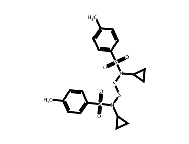 Cc1ccc(S(=O)(=O)N(SSN(C2CC2)S(=O)(=O)c2ccc(C)cc2)C2CC2)cc1